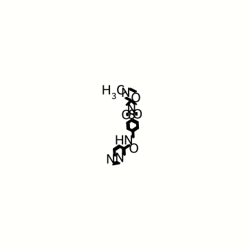 CN1CCOC2(C1)CN(S(=O)(=O)c1ccc(CNC(=O)c3ccc4nccn4c3)cc1)C2